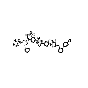 CN(C)CC[C@H](CSc1ccccc1)N1CNS(=O)(=O)c2cc(S(=O)(=O)NC(=O)c3ccc4c(c3)CC[C@H]3CN(Cc5ccccc5-c5ccc(Cl)cc5)CCN43)ccc21